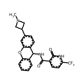 CN1CC(c2ccc3c(c2)Oc2ccccc2C3NC(=O)c2ccc(C(F)(F)F)[nH]c2=O)C1